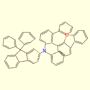 c1ccc(-c2cccc(N(c3ccccc3)c3ccc4c(c3)C(c3ccccc3)(c3ccccc3)c3ccccc3-4)c2-c2cccc3c2oc2ccccc23)cc1